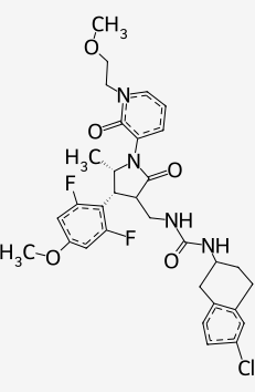 COCCn1cccc(N2C(=O)C(CNC(=O)NC3CCc4cc(Cl)ccc4C3)[C@H](c3c(F)cc(OC)cc3F)[C@@H]2C)c1=O